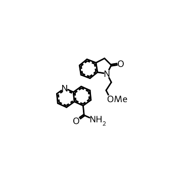 COCCN1C(=O)Cc2ccccc21.NC(=O)c1cccc2ncccc12